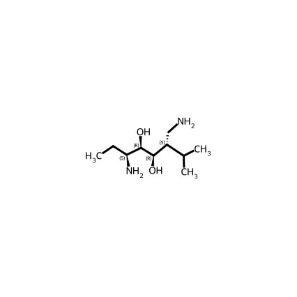 CC[C@H](N)[C@@H](O)[C@H](O)[C@H](CN)C(C)C